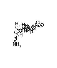 CCc1cc(Nc2nccn3c(-c4cn(C(CCl)COC=O)nc4C(F)(F)F)cnc23)ccc1C(=O)NCCOCCN